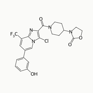 O=C(c1nc2c(C(F)(F)F)cc(-c3cccc(O)c3)cn2c1Cl)N1CCC(N2CCOC2=O)CC1